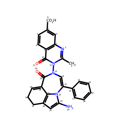 Cc1nc2cc(C(=O)O)ccc2c(=O)n1N1C=C(c2ccccc2)n2c(N)cc3c2C(=CCC3)C1=O